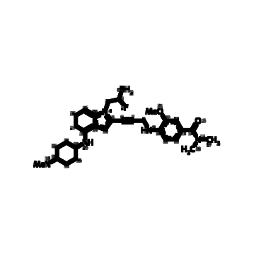 BC(F)Cn1c(C#CCNc2ccc(C(=O)N(C)C)cc2OC)cc2c1=CCCC=2NC1CCC(NC)CC1